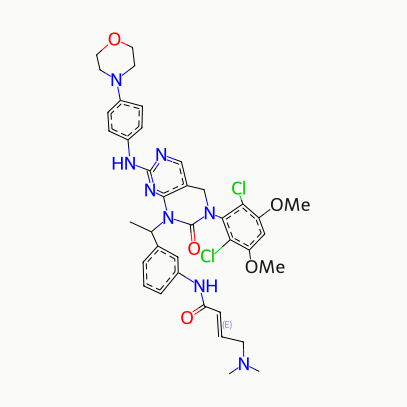 COc1cc(OC)c(Cl)c(N2Cc3cnc(Nc4ccc(N5CCOCC5)cc4)nc3N(C(C)c3cccc(NC(=O)/C=C/CN(C)C)c3)C2=O)c1Cl